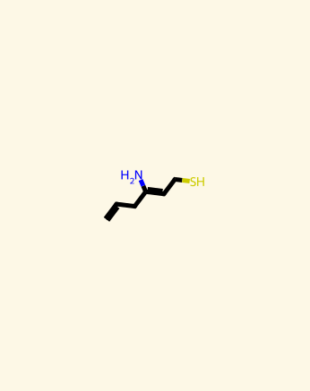 C=CCC(N)=CCS